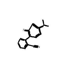 CC(C)c1ccc(-c2ccccc2C#N)c(F)c1